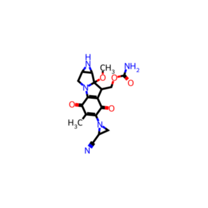 COC12C(COC(N)=O)C3=C(C(=O)C(C)=C(N4CC4C#N)C3=O)N1CC1NC12